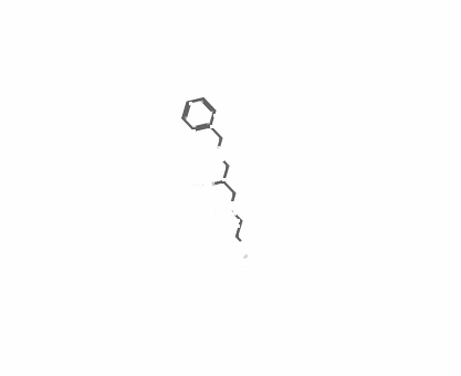 O=S(=O)(O)OCCNCC(O)COCc1ccccc1